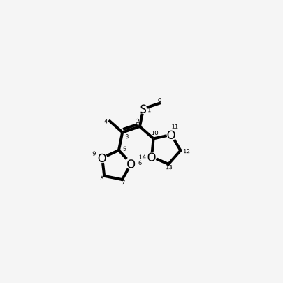 CS/C(=C(\C)C1OCCO1)C1OCCO1